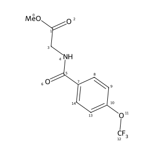 COC(=O)CNC(=O)c1ccc(OC(F)(F)F)cc1